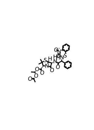 CC(=O)OC(C)OC(=O)[C@@H]1N2C(=O)[C@@H](NC(=O)C(NSc3ccccc3[N+](=O)[O-])c3ccccc3)[C@H]2SC1(C)C